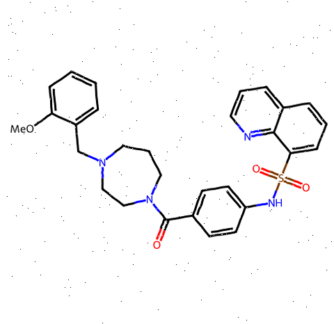 COc1ccccc1CN1CCCN(C(=O)c2ccc(NS(=O)(=O)c3cccc4cccnc34)cc2)CC1